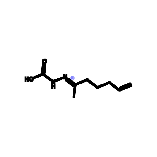 C=CCCC/C(C)=N/NC(=O)O